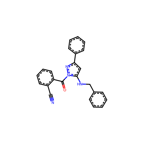 N#Cc1ccccc1C(=O)n1nc(-c2ccccc2)cc1NCc1ccccc1